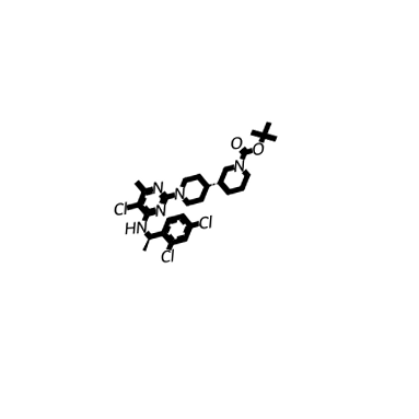 Cc1nc(N2CCC([C@H]3CCCN(C(=O)OC(C)(C)C)C3)CC2)nc(N[C@H](C)c2ccc(Cl)cc2Cl)c1Cl